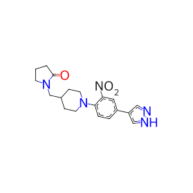 O=C1CCCN1CC1CCN(c2ccc(-c3cn[nH]c3)cc2[N+](=O)[O-])CC1